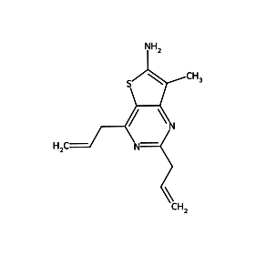 C=CCc1nc(CC=C)c2sc(N)c(C)c2n1